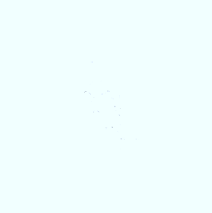 CC(C)c1cc2cc3cc(C(C)C)sc3cc2s1